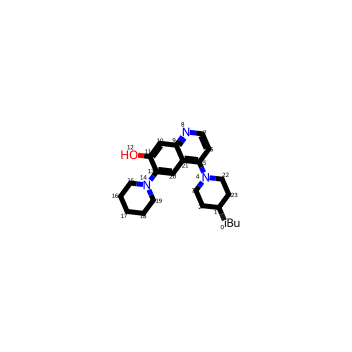 CCC(C)C1CCN(c2ccnc3cc(O)c(N4CCCCC4)cc23)CC1